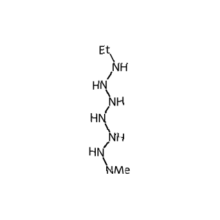 CCNNNNNNNC